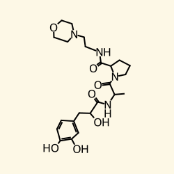 CC(NC(=O)C(O)Cc1ccc(O)c(O)c1)C(=O)N1CCCC1C(=O)NCCN1CCOCC1